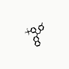 Cc1ccc(C[C](c2cccc(C(F)(F)F)c2)c2ccc3ccccc3c2)cc1